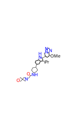 COc1cc(-c2[nH]c3ccc(C4CCC(NC(=O)CN5CC6(COC6)C5)CC4)cc3c2C(C)C)cn2ncnc12